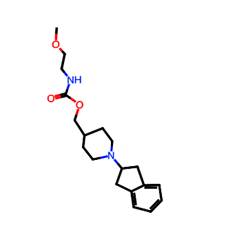 COCCNC(=O)OCC1CCN(C2Cc3ccccc3C2)CC1